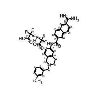 Cc1cccc(CN2CCc3cc(NC(=O)c4ccc5cc(C(=N)N)ccc5c4)ccc3C2)c1.O=C(O)C(F)(F)F.O=C(O)C(F)(F)F